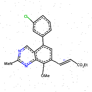 CCOC(=O)/C=C/c1cc(-c2cccc(Cl)c2)c2cnc(NC)nc2c1OC